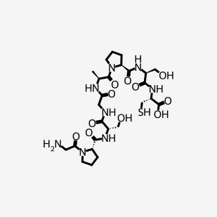 C[C@H](NC(=O)CNC(=O)[C@H](CO)NC(=O)[C@@H]1CCCN1C(=O)CN)C(=O)N1CCC[C@H]1C(=O)N[C@@H](CO)C(=O)N[C@@H](CS)C(=O)O